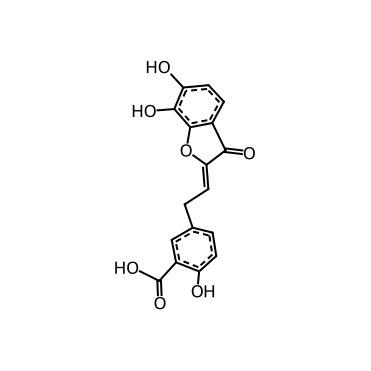 O=C(O)c1cc(CC=C2Oc3c(ccc(O)c3O)C2=O)ccc1O